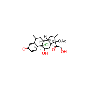 CC(=O)O[C@]1(C(=O)CO)C(C)C[C@H]2[C@@H]3CC(C)C4=CC(=O)C=C[C@]4(C)[C@@]3(Cl)C(O)C[C@@]21C